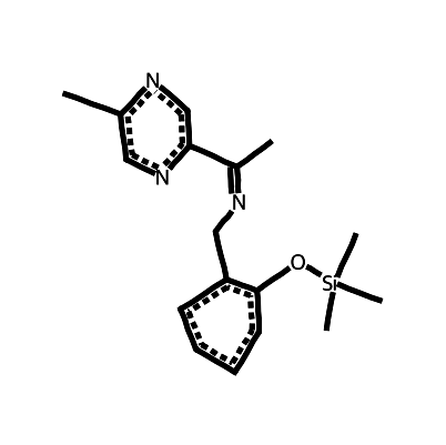 CC(=NCc1ccccc1O[Si](C)(C)C)c1cnc(C)cn1